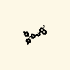 COc1ccc(-c2ccc(-c3ccc(N(c4ccc(C)cc4)c4ccc(C)cc4)cc3)s2)c2ccccc12